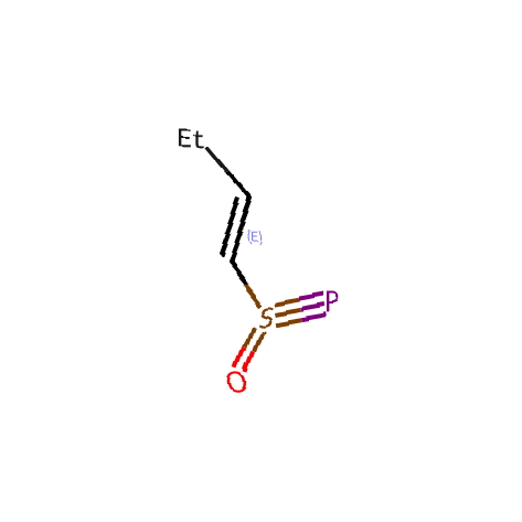 CC/C=C/S(=O)#P